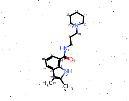 Cc1[nH]c2c(C(=O)NCCCN3CCCCC3)cccc2c1C